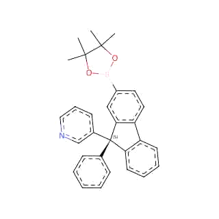 CC1(C)OB(c2ccc3c(c2)[C@@](c2ccccc2)(c2cccnc2)c2ccccc2-3)OC1(C)C